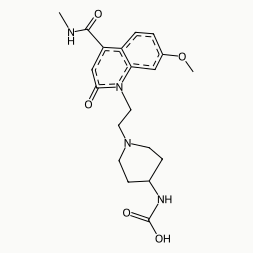 CNC(=O)c1cc(=O)n(CCN2CCC(NC(=O)O)CC2)c2cc(OC)ccc12